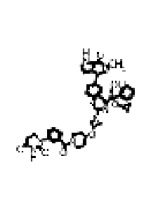 Cn1cc(-c2ccc3nc(N4CC(OC5CCN(C(=O)c6cccc(N7CCC(=O)NC7=O)c6)CC5)C4)nc([C@@](CO)(OC4CC4)c4ccccc4)c3c2)c2cc[nH]c2c1=O